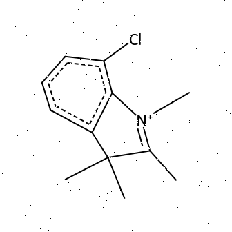 CC1=[N+](C)c2c(Cl)cccc2C1(C)C